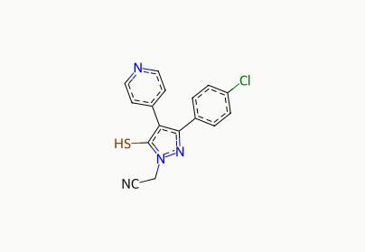 N#CCn1nc(-c2ccc(Cl)cc2)c(-c2ccncc2)c1S